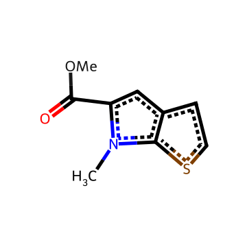 COC(=O)c1cc2ccsc2n1C